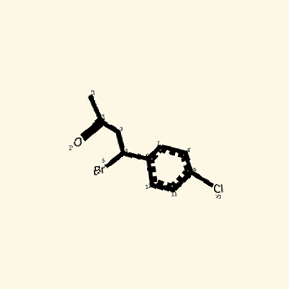 CC(=O)CC(Br)c1ccc(Cl)cc1